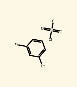 CCc1cccc(CC)c1.O=S(=O)(Cl)Cl